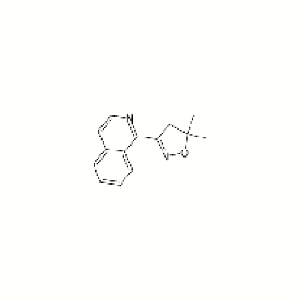 CC1(C)CC(c2nccc3ccccc23)=NO1